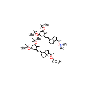 C=C1C(=CC=C2CCC[C@]3(C)C([C@H](C)OCC(=O)O)=CCC23)C[C@@H](O[Si](C)(C)C(C)(C)C)C[C@@H]1O[Si](C)(C)C(C)(C)C.C=C1C(=CC=C2CCC[C@]3(C)C([C@H](C)ON(C(C)=O)C(C)C)=CCC23)C[C@@H](O[Si](C)(C)C(C)(C)C)C[C@@H]1O[Si](C)(C)C(C)(C)C